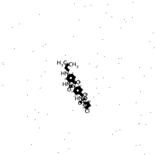 CC(C)CCNc1ccc2c(=O)n(-c3ccc(C(=O)NS(=O)(=O)c4ccc(Cl)s4)cc3)c(=O)[nH]c2c1